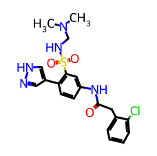 CN(C)CNS(=O)(=O)c1cc(NC(=O)Cc2ccccc2Cl)ccc1-c1cn[nH]c1